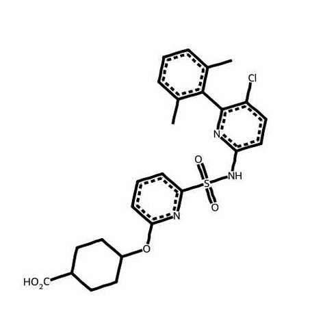 Cc1cccc(C)c1-c1nc(NS(=O)(=O)c2cccc(OC3CCC(C(=O)O)CC3)n2)ccc1Cl